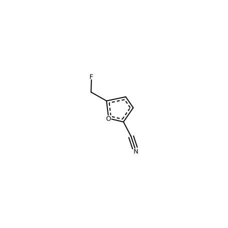 N#Cc1ccc(CF)o1